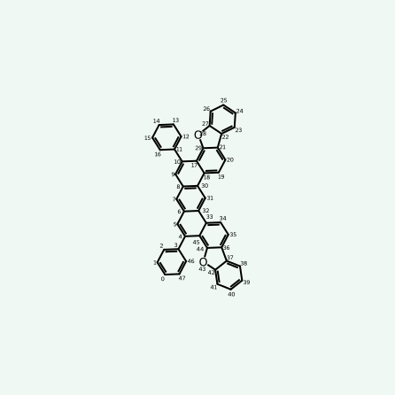 c1ccc(-c2cc3cc4cc(-c5ccccc5)c5c(ccc6c7ccccc7oc65)c4cc3c3ccc4c5ccccc5oc4c23)cc1